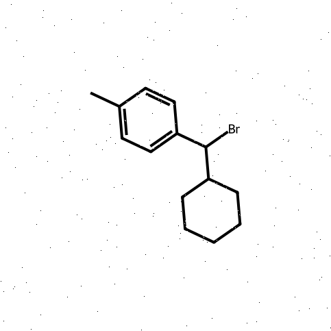 Cc1ccc(C(Br)C2CCCCC2)cc1